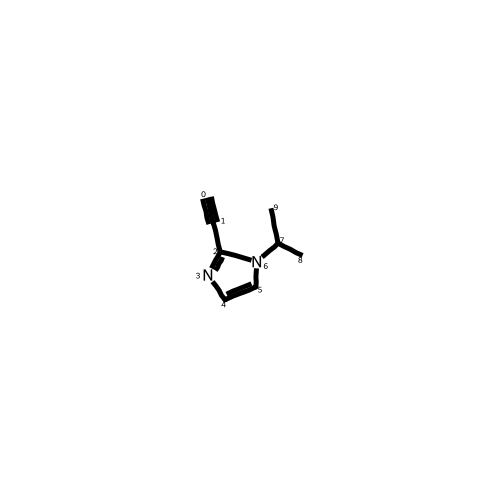 C#Cc1nccn1C(C)C